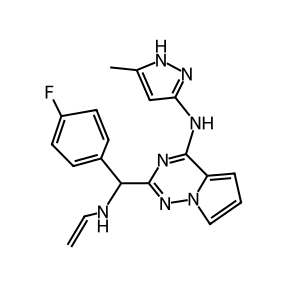 C=CNC(c1ccc(F)cc1)c1nc(Nc2cc(C)[nH]n2)c2cccn2n1